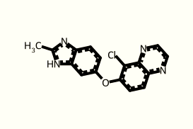 Cc1nc2ccc(Oc3ccc4nccnc4c3Cl)cc2[nH]1